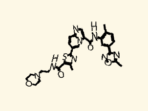 Cc1nc(-c2ccc(C)c(NC(=O)c3cnc4ccc(-c5nc(C)c(C(=O)NCCN6CCOCC6)s5)cn34)c2)no1